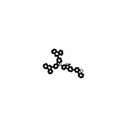 C[Si]1(C)c2cc(-c3ccc4oc5ccccc5c4c3)ccc2-c2ccc(-n3c4ccc(-c5cc6ccccc6c6ccccc56)cc4c4cc(-c5cc6ccccc6c6ccccc56)ccc43)cc21